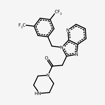 O=C(Cc1nc2cccnc2n1Cc1cc(C(F)(F)F)cc(C(F)(F)F)c1)N1CCNCC1